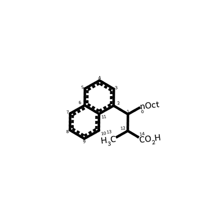 CCCCCCCCC(c1cccc2ccccc12)C(C)C(=O)O